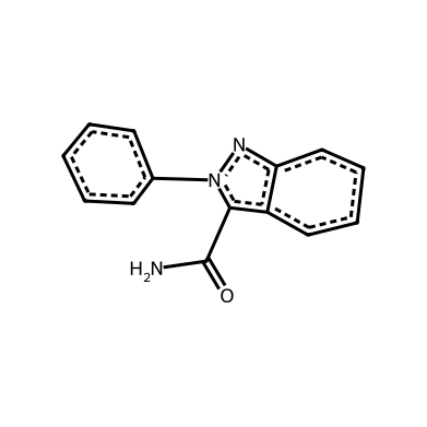 NC(=O)c1c2ccccc2nn1-c1ccccc1